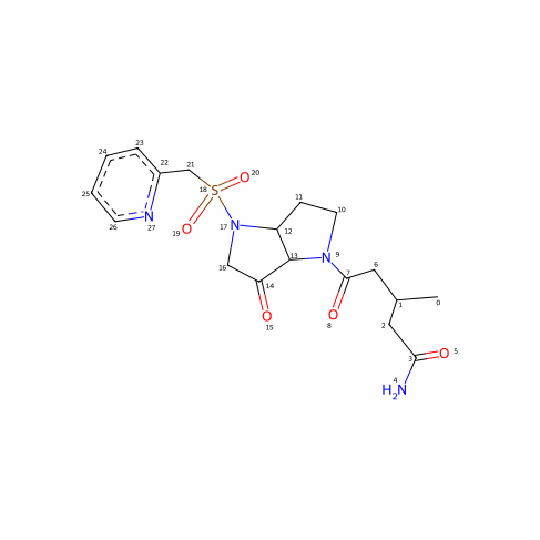 CC(CC(N)=O)CC(=O)N1CCC2C1C(=O)CN2S(=O)(=O)Cc1ccccn1